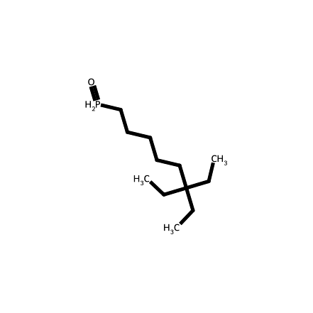 CCC(CC)(CC)CCCCC[PH2]=O